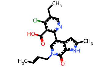 CC=CCn1cc(-c2ncc(CC)c(Cl)c2C(=O)O)c2cc(C)[nH]c2c1=O